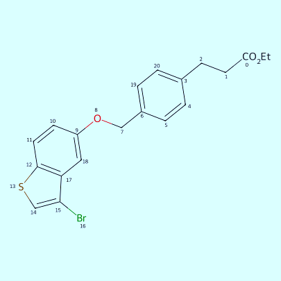 CCOC(=O)CCc1ccc(COc2ccc3scc(Br)c3c2)cc1